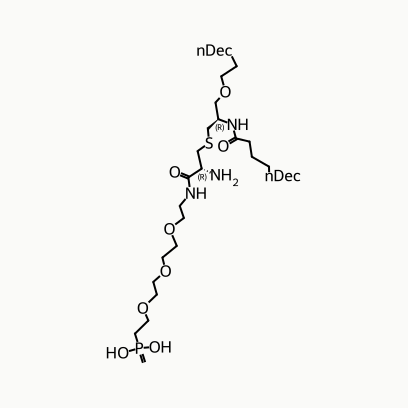 C=P(O)(O)CCOCCOCCOCCNC(=O)[C@@H](N)CSC[C@@H](COCCCCCCCCCCCC)NC(=O)CCCCCCCCCCCCC